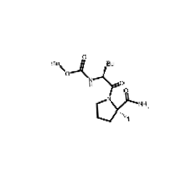 CCC(C)[C@H](NC(=O)OC(C)(C)C)C(=O)N1C[CH][CH][C@]1(I)C(N)=O